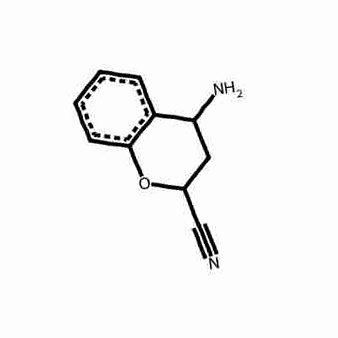 N#CC1CC(N)c2ccccc2O1